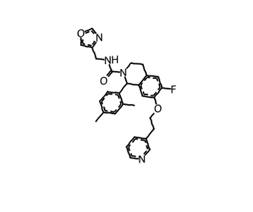 Cc1ccc(C2c3cc(OCCc4cccnc4)c(F)cc3CCN2C(=O)NCc2cocn2)c(C)c1